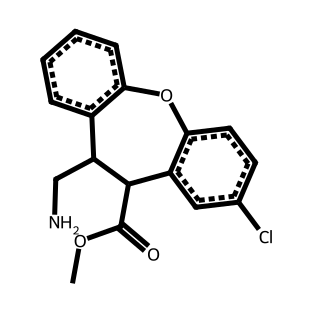 COC(=O)C1c2cc(Cl)ccc2Oc2ccccc2C1CN